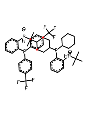 CC(C)(C)[PH](=O)c1ccccc1P(C1CCCCC1)C1CCC(C(C)(C)[PH](=O)c2ccccc2P(c2ccc(C(F)(F)F)cc2)c2ccc(C(F)(F)F)cc2)CC1